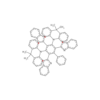 CC1(C)c2ccccc2N(c2c(-c3nc4ccccc4s3)c(-c3ccccc3)c(-c3nc4ccccc4s3)c(N3c4ccccc4C(C)(C)c4ccccc43)c2-c2nc3ccccc3s2)c2ccccc21